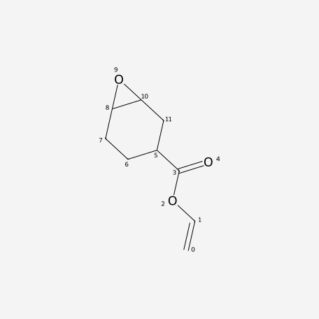 C=COC(=O)C1CCC2OC2C1